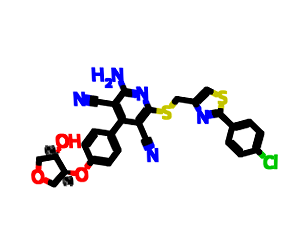 N#Cc1c(N)nc(SCc2csc(-c3ccc(Cl)cc3)n2)c(C#N)c1-c1ccc(O[C@H]2COC[C@@H]2O)cc1